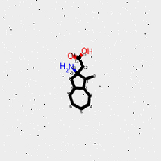 CC1C2CCCCCC2CC1(N)CC(=O)O